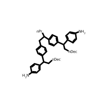 CCCCCCCCCCCC(c1ccc(N)cc1)c1ccc(CC(CCC)c2ccc(C(CCCCCCCCCCC)c3ccc(N)cc3)cc2)cc1